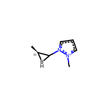 C[C@@H]1BC1n1ccc[n+]1C